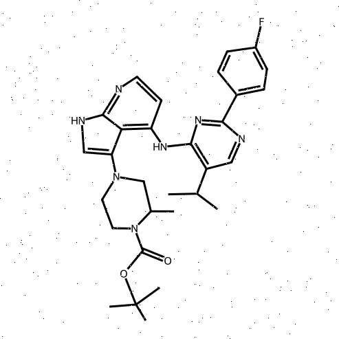 CC(C)c1cnc(-c2ccc(F)cc2)nc1Nc1ccnc2[nH]cc(N3CCN(C(=O)OC(C)(C)C)C(C)C3)c12